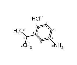 CC(C)c1cccc(N)c1.Cl